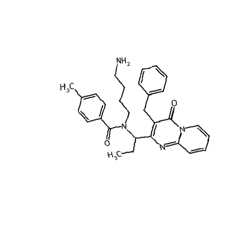 CCC(c1nc2ccccn2c(=O)c1Cc1ccccc1)N(CCCCN)C(=O)c1ccc(C)cc1